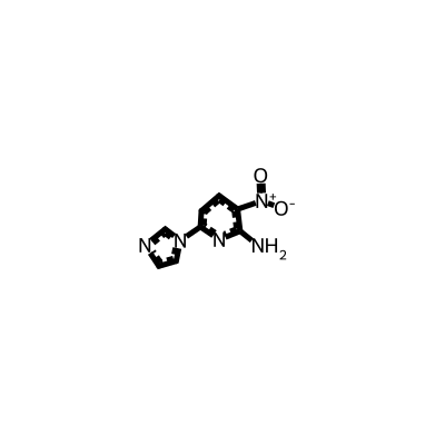 Nc1nc(-n2ccnc2)ccc1[N+](=O)[O-]